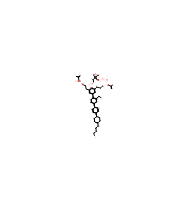 C=C(C)C(=O)OCCCc1cc(-c2ccc(-c3ccc(C4CCC(CCCCC)CC4)cc3)cc2CC)cc(CCCOC(=O)C(=C)C)c1OCCC(CO)(CO)CO